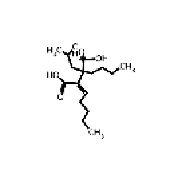 CCCCC=C(C(=O)O)C(CCCC)(CC(C)C)C(=O)O